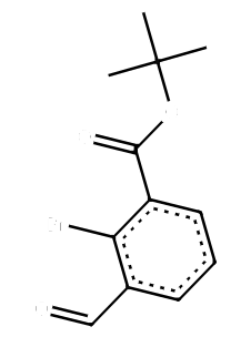 CC(C)(C)OC(=O)c1cccc(C=O)c1Br